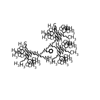 CCCCN(c1nc(NCCCN(CCCN)CCCN(CCCN(CCCNc2nc(N(CCCC)C3CC(C)(C)NC(C)(C)C3)nc(N(CCCC)C3CC(C)(C)NC(C)(C)C3)n2)CCCNc2nc(N(CCCC)C3CC(C)(C)NC(C)(C)C3)nc(N(CCCC)C3CC(C)(C)NC(C)(C)C3)n2)Cc2ccccc2)nc(N(CCCC)C2CC(C)(C)NC(C)(C)C2)n1)C1CC(C)(C)NC(C)(C)C1